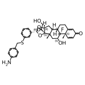 C[C@]12C=CC(=O)C=C1CC[C@H]1[C@@H]3C[C@H]4O[C@@H](c5cccc(SCc6ccc(N)cc6)c5)O[C@@]4(C(=O)CO)[C@@]3(C)C[C@H](O)[C@@]12F